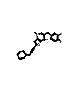 Cn1cc(Cc2ccc(F)c(F)c2)c(=O)c2sc(C#CCc3ccccc3)cc21